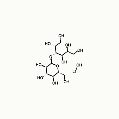 CCO.OC[C@@H](O)[C@@H](O[C@H]1O[C@H](CO)[C@@H](O)[C@H](O)[C@H]1O)[C@H](O)[C@@H](O)CO